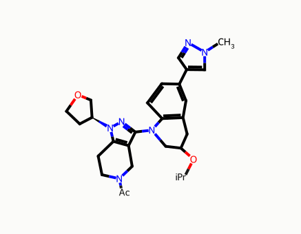 CC(=O)N1CCc2c(c(N3CC(OC(C)C)Cc4cc(-c5cnn(C)c5)ccc43)nn2[C@H]2CCOC2)C1